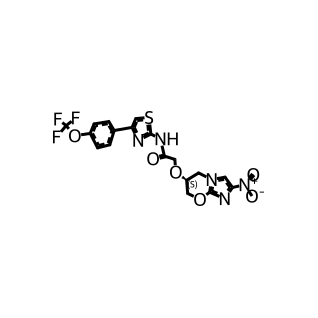 O=C(CO[C@@H]1COc2nc([N+](=O)[O-])cn2C1)Nc1nc(-c2ccc(OC(F)(F)F)cc2)cs1